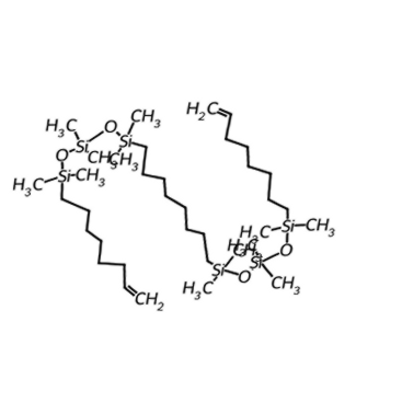 C=CCCCCCC[Si](C)(C)O[Si](C)(C)O[Si](C)(C)CCCCCCCC[Si](C)(C)O[Si](C)(C)O[Si](C)(C)CCCCCCC=C